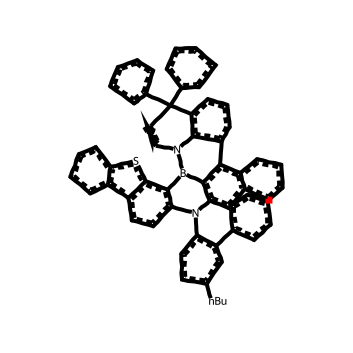 CCCCc1ccc(N2c3cc4ccccc4c4c3B(c3c2ccc2c3sc3ccccc32)N2c3ccccc3C(c3ccccc3)(c3ccccc3)c3cccc-4c32)c(-c2ccccc2)c1